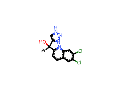 CC(C)C(O)(c1c[nH]nn1)c1ccc2cc(Cl)c(Cl)cc2n1